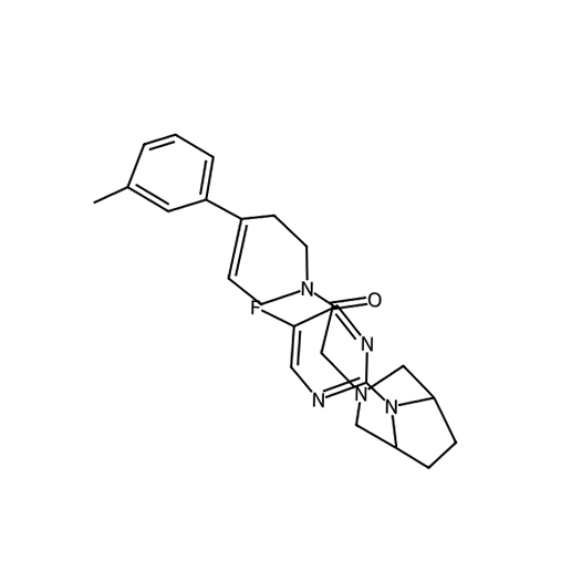 Cc1cccc(C2=CCN(C(=O)CN3CC4CCC(C3)N4c3ncc(F)cn3)CC2)c1